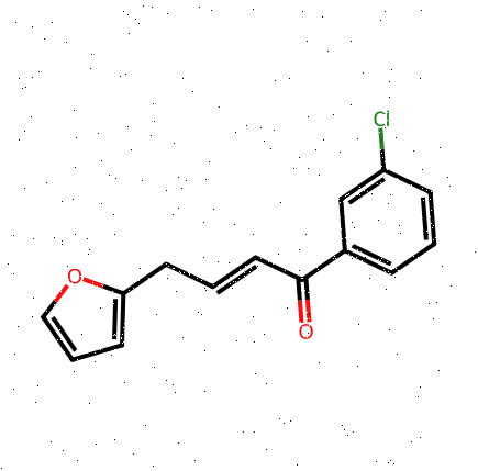 O=C(/C=C/Cc1ccco1)c1cccc(Cl)c1